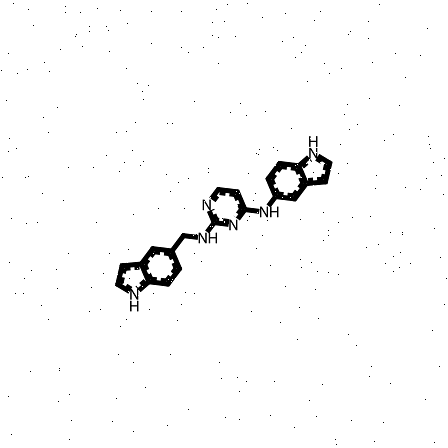 c1cc(Nc2ccc3[nH]ccc3c2)nc(NCc2ccc3[nH]ccc3c2)n1